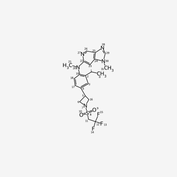 CCc1cc(C2CN(S(=O)(=O)CC(F)(F)F)C2)ccc1N(C)c1cc2c(cn1)ncn2C